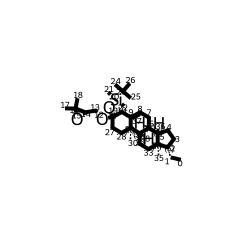 CC[C@H]1CC[C@H]2[C@@H]3CC=C4CC(OCC5OC5(C)C)(O[Si](C)(C)C(C)(C)C)CC[C@]4(C)[C@H]3CC[C@]12C